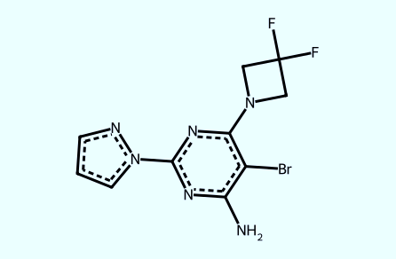 Nc1nc(-n2cccn2)nc(N2CC(F)(F)C2)c1Br